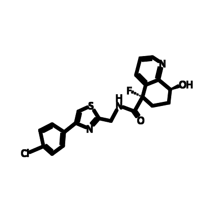 O=C(NCc1nc(-c2ccc(Cl)cc2)cs1)[C@]1(F)CC[C@H](O)c2ncccc21